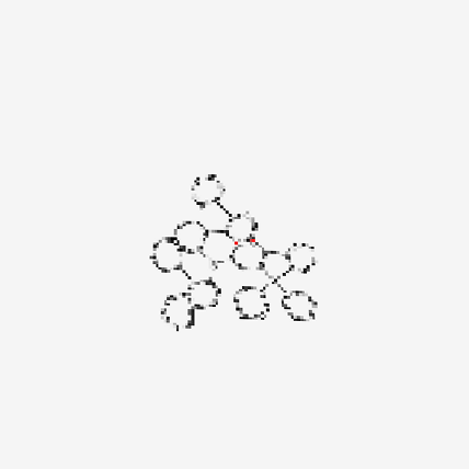 c1ccc(-c2ccccc2-c2ccccc2N(c2ccc3c(c2)C(c2ccccc2)(c2ccccc2)c2ccccc2-3)c2ccc3ccccc3c2-c2ccccc2)cc1